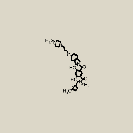 Cc1ccc(CN(C)C(=O)c2cc(C(=O)N3Cc4ccc(OCCCN5CCN(C)CC5)cc4C3)c(O)cc2O)s1